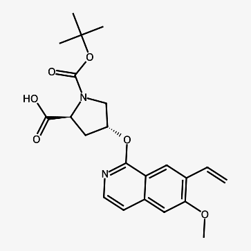 C=Cc1cc2c(O[C@@H]3C[C@@H](C(=O)O)N(C(=O)OC(C)(C)C)C3)nccc2cc1OC